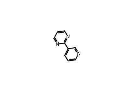 [c]1cnc(-c2cccnc2)nc1